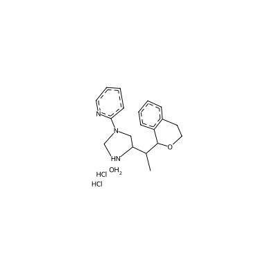 CC(C1CN(c2ccccn2)CCN1)C1OCCc2ccccc21.Cl.Cl.O